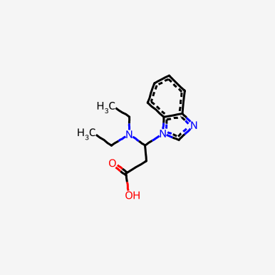 CCN(CC)C(CC(=O)O)n1cnc2ccccc21